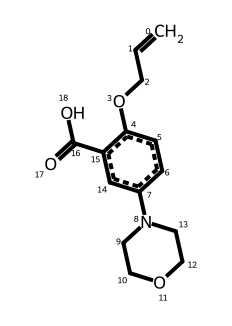 C=CCOc1ccc(N2CCOCC2)cc1C(=O)O